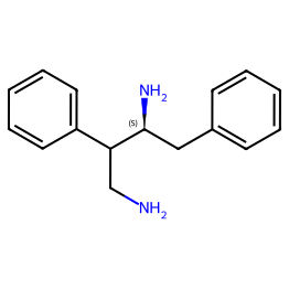 NCC(c1ccccc1)[C@@H](N)Cc1ccccc1